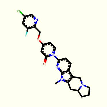 Cn1c2c(c3ccc(-n4ccc(OCc5ncc(Cl)cc5F)cc4=O)nc31)CN1CCCC1C2